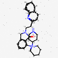 O=C1c2c(cccc2[N+]2(C3CCNCC3)CCCCC2)CN1CCc1ccc2ccccc2n1